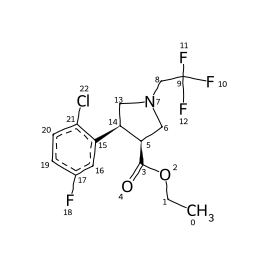 CCOC(=O)[C@@H]1CN(CC(F)(F)F)C[C@@H]1c1cc(F)ccc1Cl